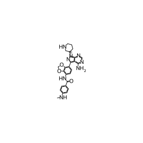 CNc1ccc(C(=O)Nc2ccc(-c3nn([C@@H]4CCCNC4)c4ncnc(N)c34)c3c2OCO3)cc1